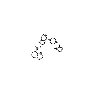 CN(Cc1cn2c(N3CCN(Cc4cccn4C)CC3)nccc2n1)C1CCCc2cccnc21